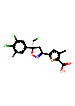 Cc1cc(C2=NO[C@@](CF)(c3cc(Cl)c(Cl)c(Cl)c3)C2)sc1C(=O)O